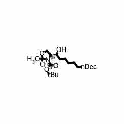 CCCCCCCCCCCCCCCC(O)[C@@H]1COC(C)(C)N1C(=O)OC(C)(C)C